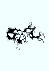 CC(C)c1cnn2c(N(Cc3ccc4ccccc4n3)C(=O)OC(C)(C)C)cc(Cl)nc12